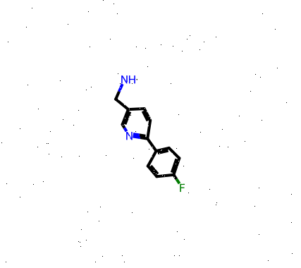 [NH]Cc1ccc(-c2ccc(F)cc2)nc1